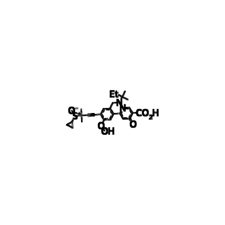 CCC(C)(C)N1Cc2cc(C#CC(C)(C)[S+]([O-])C3CC3)c(OO)cc2-c2cc(=O)c(C(=O)O)cn21